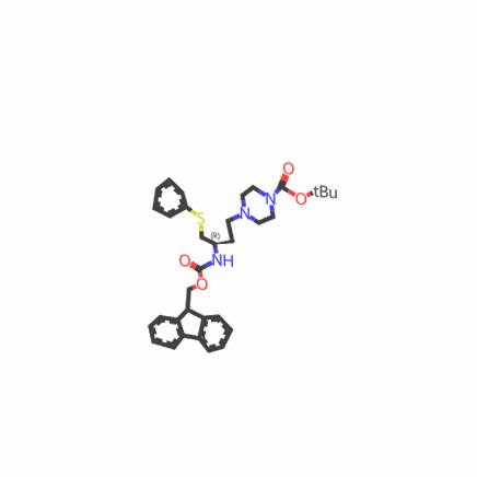 CC(C)(C)OC(=O)N1CCN(CC[C@H](CSc2ccccc2)NC(=O)OCC2c3ccccc3-c3ccccc32)CC1